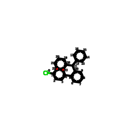 Clc1ccc(-c2ccccc2[C](c2ccccc2)c2ccccc2)cc1